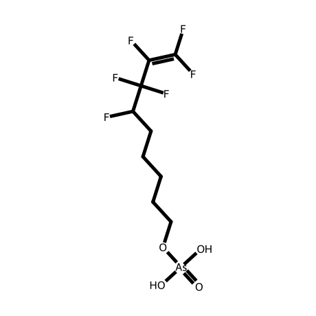 O=[As](O)(O)OCCCCCC(F)C(F)(F)C(F)=C(F)F